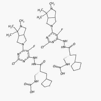 CN1CC2CN(c3nc(Cl)nc(NNC(=O)[C@@H](CNC(=O)O)CC4CCCC4)c3F)CC2C1(C)C.CN1CC2CN(c3nc(Cl)nc(NNC(=O)[C@@H](CNC(=O)O)CC4CCCC4)c3F)CC2C1(C)C